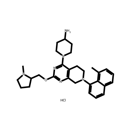 Cc1cccc2cccc(N3CCc4c(nc(OCC5CCCN5C)nc4N4CCC(N)CC4)C3)c12.Cl